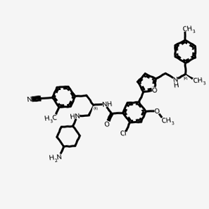 COc1cc(Cl)c(C(=O)N[C@@H](CNC2CCC(N)CC2)Cc2ccc(C#N)c(C)c2)cc1-c1ccc(CN[C@H](C)c2ccc(C)cc2)o1